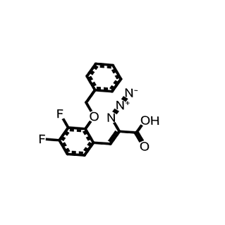 [N-]=[N+]=N/C(=C\c1ccc(F)c(F)c1OCc1ccccc1)C(=O)O